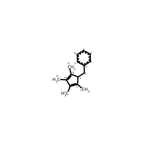 CC1=C(C)C(Cc2ccccc2)C(C)=C1C